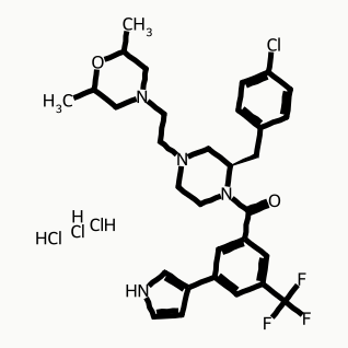 CC1CN(CCN2CCN(C(=O)c3cc(-c4cc[nH]c4)cc(C(F)(F)F)c3)[C@H](Cc3ccc(Cl)cc3)C2)CC(C)O1.Cl.Cl.Cl